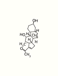 CC(=O)C1=CC[C@H]2[C@@H]3CC[C@H]4C[C@H](O)CC[C@]4(C)[C@H]3C(O)C[C@]12C